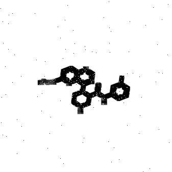 CCCCCc1ccc2ncnc(N3CCNCC3C(=O)Nc3cccc(C)c3)c2n1